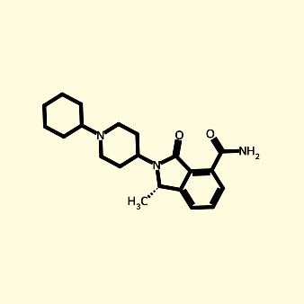 C[C@H]1c2cccc(C(N)=O)c2C(=O)N1C1CCN(C2CCCCC2)CC1